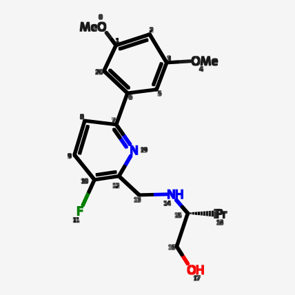 COc1cc(OC)cc(-c2ccc(F)c(CN[C@@H](CO)C(C)C)n2)c1